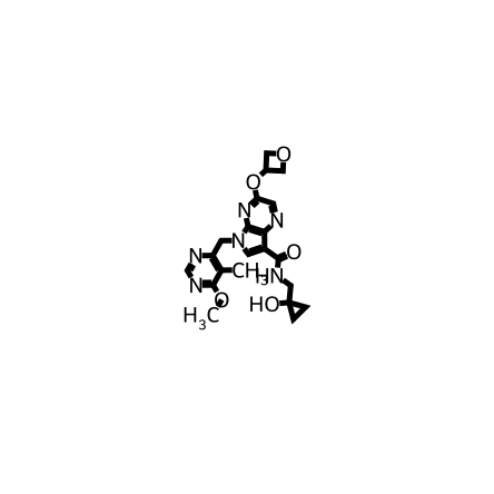 COc1ncnc(Cn2cc(C(=O)NCC3(O)CC3)c3ncc(OC4COC4)nc32)c1C